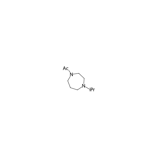 CC(=O)N1CCCN(C(C)C)CC1